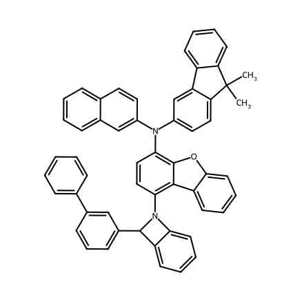 CC1(C)c2ccccc2-c2cc(N(c3ccc4ccccc4c3)c3ccc(N4c5ccccc5C4c4cccc(-c5ccccc5)c4)c4c3oc3ccccc34)ccc21